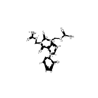 CC(C)(C)C(=O)OCn1c(=O)c2c(ncn2-c2ccccc2Cl)n(COC(=O)C(C)(C)C)c1=O